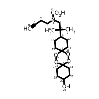 C#CCCN(CC(C)(C)C1CCC2(CC1)OOC1(CCC(O)CC1)OO2)C(=O)O